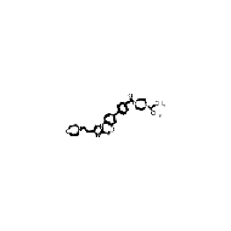 CC(C)N1CCN(C(=O)c2ccc(-c3ccc4c(c3)OCc3nc(CCN5CCOCC5)cn3-4)cc2)CC1